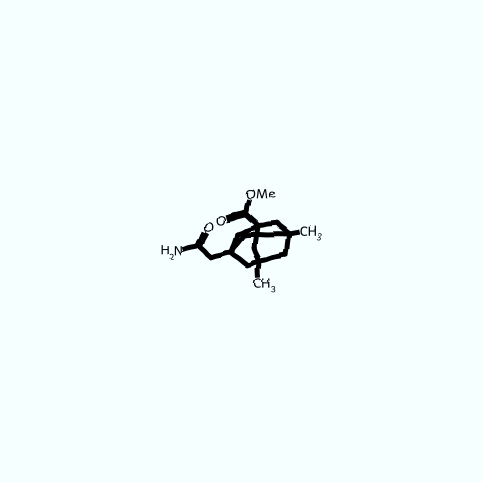 COC(=O)C12CC3(C)CC(C)(CC(CC(N)=O)(C3)C1)C2